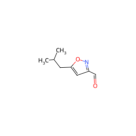 CC(C)Cc1cc(C=O)no1